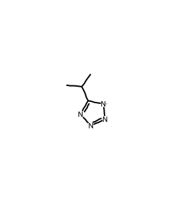 CC(C)C1=NN=N[N]1